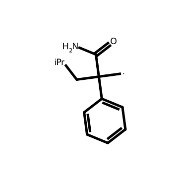 [CH2]C(CC(C)C)(C(N)=O)c1ccccc1